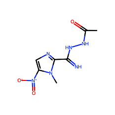 CC(=O)NNC(=N)c1ncc([N+](=O)[O-])n1C